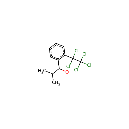 CC(C)C([O])c1ccccc1C(Cl)(Cl)C(Cl)(Cl)Cl